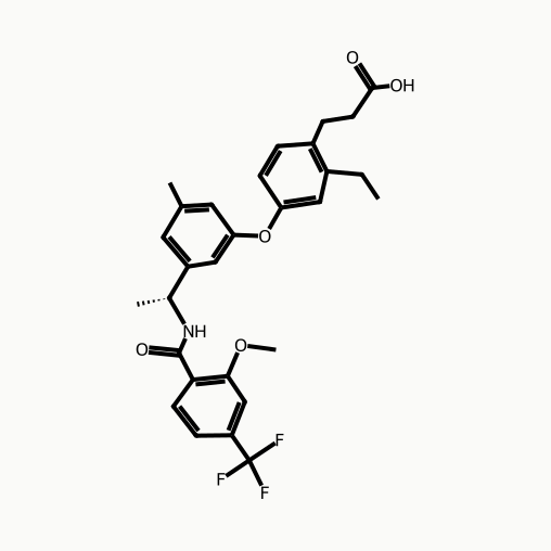 CCc1cc(Oc2cc(C)cc([C@@H](C)NC(=O)c3ccc(C(F)(F)F)cc3OC)c2)ccc1CCC(=O)O